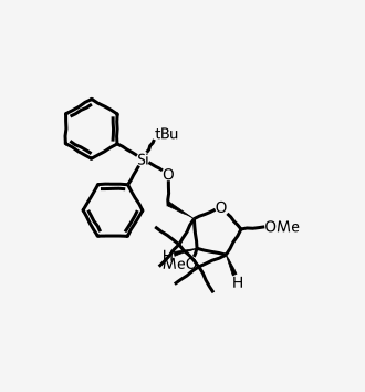 COC1O[C@]2(CO[Si](c3ccccc3)(c3ccccc3)C(C)(C)C)[C@@H](OC)[C@H]1C(C)(C)C2(C)C